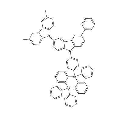 Cc1ccc2c(c1)c1cc(C)ccc1n2-c1ccc2c(c1)c1cc(-c3ccccc3)ccc1n2-c1ccc([Si]2(c3ccccc3)c3ccccc3[Si](c3ccccc3)(c3ccccc3)c3ccccc32)cc1